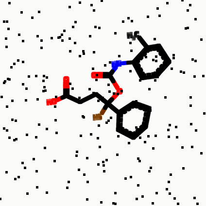 Cc1ccccc1NC(=O)OC(S)(CCC(=O)O)c1ccccc1